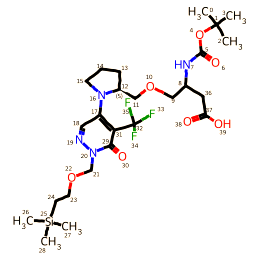 CC(C)(C)OC(=O)NC(COC[C@@H]1CCCN1c1cnn(COCC[Si](C)(C)C)c(=O)c1C(F)(F)F)CC(=O)O